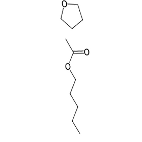 C1CCOC1.CCCCCOC(C)=O